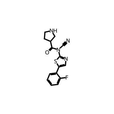 N#CN(C(=O)C1CCNC1)c1ncc(-c2ccccc2F)s1